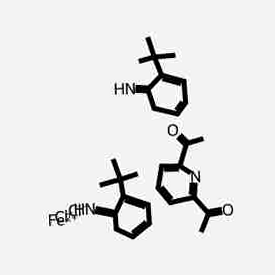 CC(=O)c1cccc(C(C)=O)n1.CC(C)(C)C1=CC=CCC1=N.CC(C)(C)C1=CC=CCC1=N.[Cl-].[Cl-].[Fe+2]